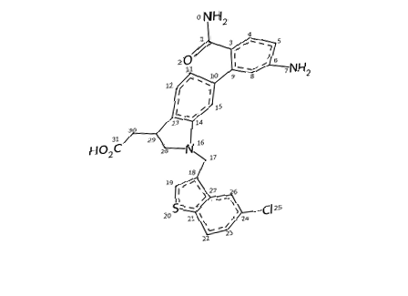 NC(=O)c1ccc(N)cc1-c1ccc2c(c1)N(Cc1csc3ccc(Cl)cc13)CC2CC(=O)O